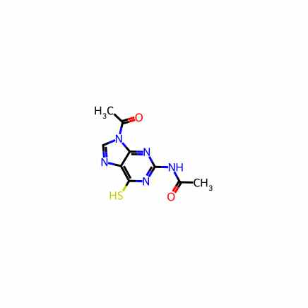 CC(=O)Nc1nc(S)c2ncn(C(C)=O)c2n1